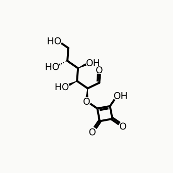 O=C[C@@H](Oc1c(O)c(=O)c1=O)[C@@H](O)[C@H](O)[C@H](O)CO